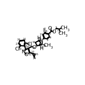 CC(C)COC(=O)c1ccc(N2[C@H]3C[C@@H]([C@H]2C)[C@H](OCc2c(-c4c(Cl)cccc4Cl)noc2C2CC2)C3)cc1F